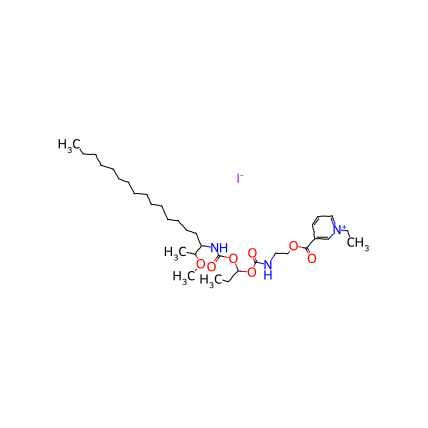 CCCCCCCCCCCCCCCC(NC(=O)OC(CC)OC(=O)NCCOC(=O)c1ccc[n+](CC)c1)C(C)OC.[I-]